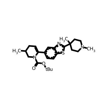 CC1CC=C(c2ccc3sc(C4(C)CCN(C)CC4)nc3c2)N(C(=O)OC(C)(C)C)C1